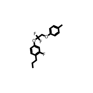 CCCc1ccc(OC(F)(F)COc2ccc(C)cc2)cc1F